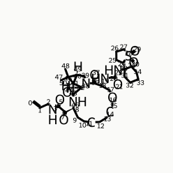 C=CCNC(=O)C(=O)[C@@H]1CCCCCCCOC[C@H](NC(=O)NC2([C@H]3CCCS3(=O)=O)CCCCC2)C(=O)N2C[C@H]3[C@@H]([C@H]2C(=O)N1)C3(C)C